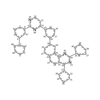 c1ccc(-c2cccc(-c3nccc(-c4cccc(-c5ccc6ccc7c(-c8ccccc8)nc(-c8ccccc8)nc7c6c5)c4)n3)c2)cc1